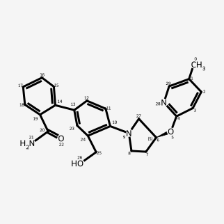 Cc1ccc(O[C@H]2CCN(c3ccc(-c4ccccc4C(N)=O)cc3CO)C2)nc1